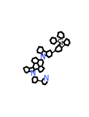 c1ccc([Si]2(c3ccccc3)c3ccccc3-c3ccc(-c4ccc5c(c4)c4ccccc4n5-c4cc5cccc6c5c5c4cccc5c4c5ccccc5n(-c5cccc(-c7cccnc7)c5)c64)cc32)cc1